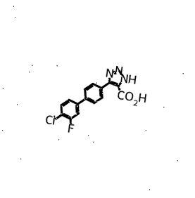 O=C(O)c1[nH]nnc1-c1ccc(-c2ccc(Cl)c(F)c2)cc1